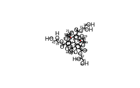 CC1(C)Oc2c(c([C](c3c4c(c(C(=O)OCC(O)CO)c5c3SC(C)(C)O5)OC(C)(C)S4)c3c4c(c(C(=O)OCC(O)CO)c5c3SC(C)(C)O5)OC(C)(C)S4)c3c(c2C(=O)OCC(O)CO)OC(C)(C)S3)S1